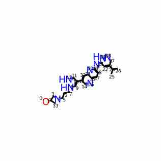 COC1CN(CCCN/C=C(\C=N)c2cnc3ccc(Nc4cc(C(C)C)cnn4)nc3c2)C1